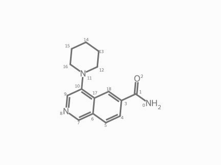 NC(=O)c1ccc2cncc(N3CCCCC3)c2c1